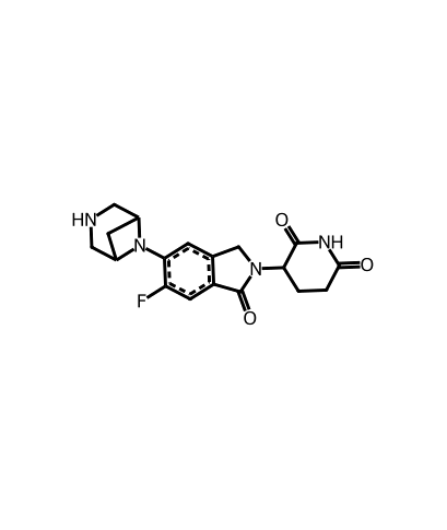 O=C1CCC(N2Cc3cc(N4C5CNCC4C5)c(F)cc3C2=O)C(=O)N1